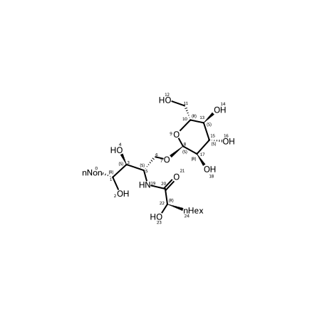 CCCCCCCCC[C@@H](O)[C@@H](O)[C@H](CO[C@H]1O[C@H](CO)[C@@H](O)[C@H](O)[C@H]1O)NC(=O)[C@H](O)CCCCCC